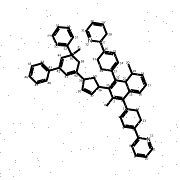 CC1=C(C2=CC=C(c3ccccn3)CC2)C2=CC=CC(C)C2C(C2=CC=C(C3CC=CC=N3)CC2)=C1C1C=CC(C2=CC(c3ccccc3)=CC(C)(c3ccccc3)C2)C1